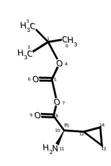 CC(C)(C)OC(=O)OC(=O)[C@H](N)C1CC1